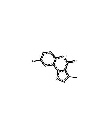 Cc1noc2c1c(=O)[nH]c1ccc(F)cc12